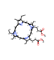 CCC1=C(C)c2cc3[nH]c(cc4nc(cc5[nH]c(cc1n2)c(C)c5CCC(=O)OC)C(CCC(=O)OC)C4C)c(C)c3CC